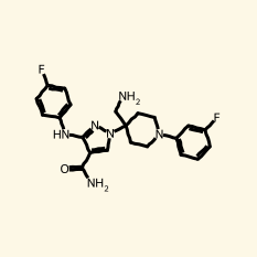 NCC1(n2cc(C(N)=O)c(Nc3ccc(F)cc3)n2)CCN(c2cccc(F)c2)CC1